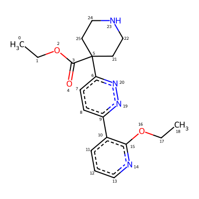 CCOC(=O)C1(c2ccc(-c3cccnc3OCC)nn2)CCNCC1